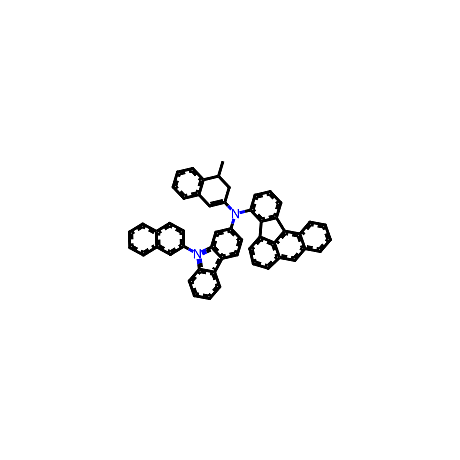 CC1CC(N(c2ccc3c4ccccc4n(-c4ccc5ccccc5c4)c3c2)c2cccc3c2-c2cccc4cc5ccccc5c-3c24)=Cc2ccccc21